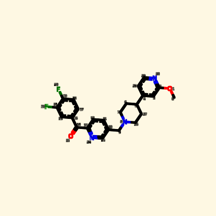 COc1cc(C2CCN(Cc3ccc(C(=O)c4ccc(F)c(F)c4)nc3)CC2)ccn1